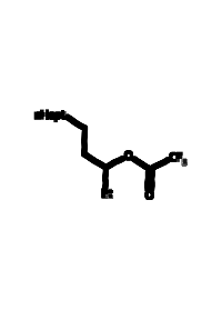 CCCCCCCCCC(CC)OC(=O)C(F)(F)F